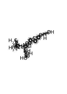 C=N/C=C(\C=C(/C)COc1nc(O[C@H]2CCc3c(-c4cccc(-c5ccc(OCCNCCO)cc5)c4Cl)cccc32)c(Cl)cc1CNC[C@@H](O)CC(=O)O)S(C)(=O)=O